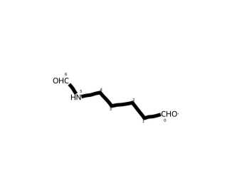 O=[C]CCCCNC=O